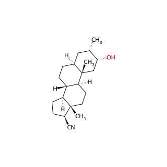 C[C@H]1C[C@@H]2CC[C@@H]3[C@H](CC[C@]4(C)[C@@H](C#N)CC[C@@H]34)[C@@]2(C)C[C@H]1O